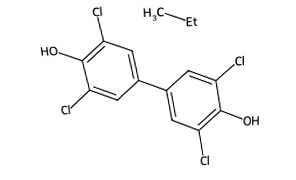 CCC.Oc1c(Cl)cc(-c2cc(Cl)c(O)c(Cl)c2)cc1Cl